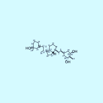 C=C1[C@H](O)CC(=CC=C2CCC[C@]3(C)[C@@H](C(C)CN4CCCC(C)(O)C4)CC[C@@H]23)C[C@H]1O